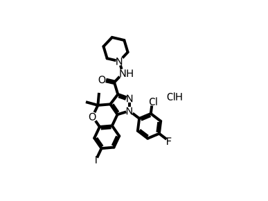 CC1(C)Oc2cc(I)ccc2-c2c1c(C(=O)NN1CCCCC1)nn2-c1ccc(F)cc1Cl.Cl